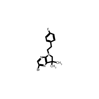 CC1(C)CN(CCc2ccc(F)cc2)c2ncc(Br)nc21